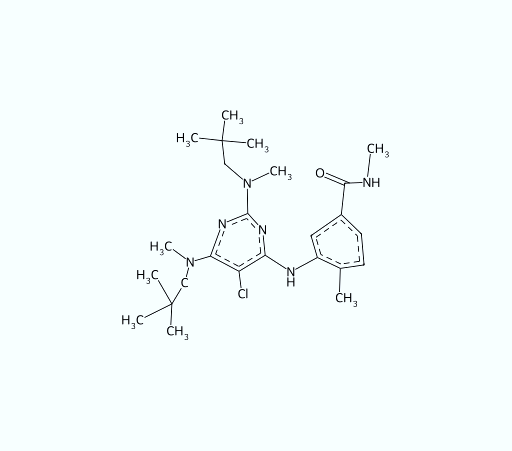 CNC(=O)c1ccc(C)c(Nc2nc(N(C)CC(C)(C)C)nc(N(C)CC(C)(C)C)c2Cl)c1